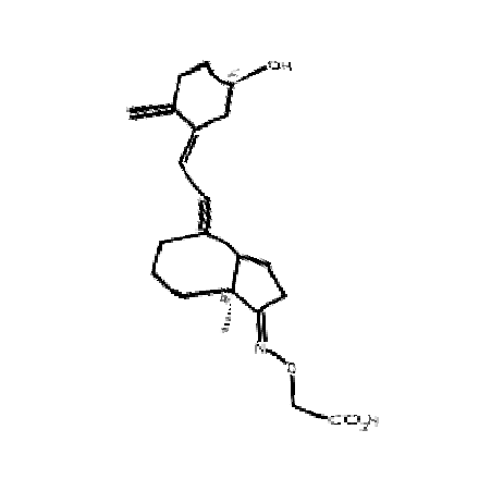 C=C1CC[C@@H](O)CC1=CC=C1CCC[C@]2(C)C(=NOCC(=O)O)CCC12